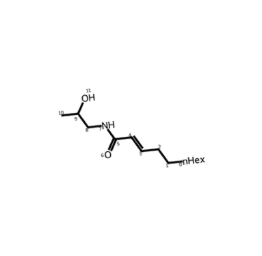 CCCCCCCCC=CC(=O)NCC(C)O